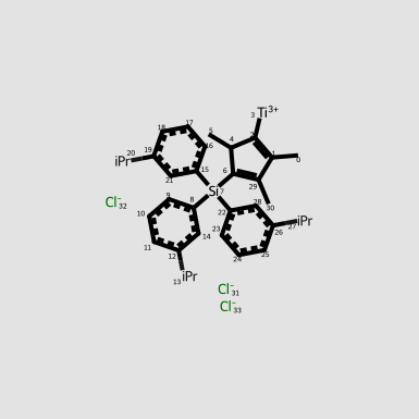 CC1=[C]([Ti+3])C(C)C([Si](c2cccc(C(C)C)c2)(c2cccc(C(C)C)c2)c2cccc(C(C)C)c2)=C1C.[Cl-].[Cl-].[Cl-]